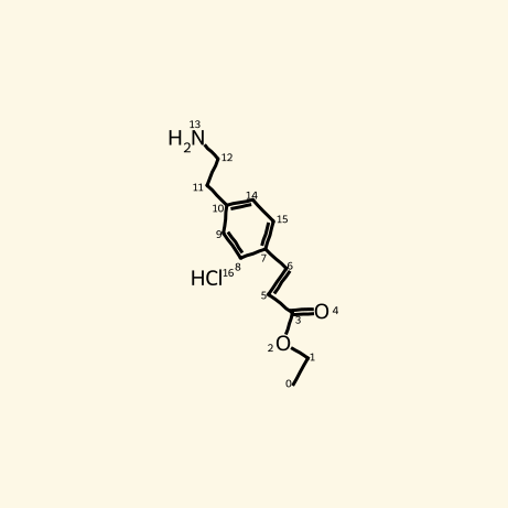 CCOC(=O)/C=C/c1ccc(CCN)cc1.Cl